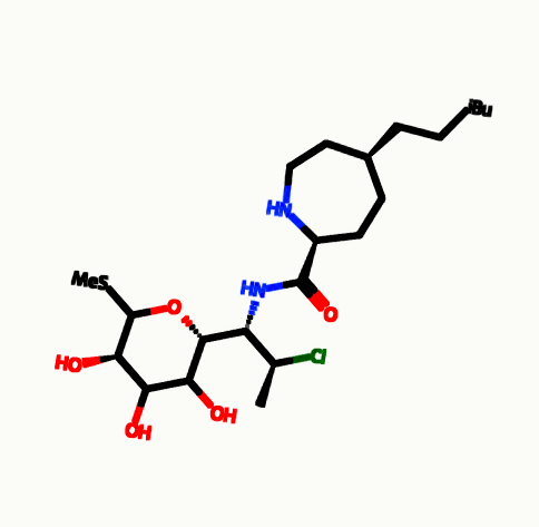 CCC(C)CC[C@@H]1CCN[C@H](C(=O)N[C@H]([C@H](C)Cl)[C@H]2OC(SC)[C@H](O)C(O)C2O)CC1